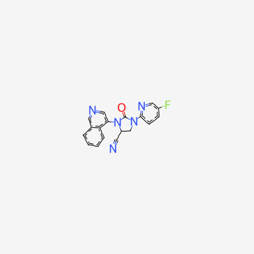 N#CC1CN(c2ccc(F)cn2)C(=O)N1c1cncc2ccccc12